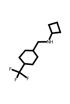 FC(F)(F)C1CCC(CNC2CCC2)CC1